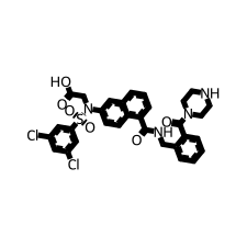 O=C(O)CN(c1ccc2c(C(=O)NCc3ccccc3C(=O)N3CCNCC3)cccc2c1)S(=O)(=O)c1cc(Cl)cc(Cl)c1